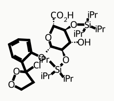 CC(C)[Si](O[C@H]1[C@H](Oc2ccccc2C2(Cl)CCOO2)O[C@H](C(=O)O)[C@@H](O[Si](C(C)C)(C(C)C)C(C)C)[C@@H]1O)(C(C)C)C(C)C